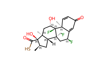 C[C@@H]1C[C@H]2[C@]3(CF)C[C@H](F)C4=CC(=O)C=C[C@]4(C)[C@@]3(F)[C@@H](O)C[C@]2(C)[C@@]1(O)C(=O)S